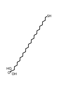 O=P(O)(O)CCCCCCCCCCCCCCCCCCCCCCCCS